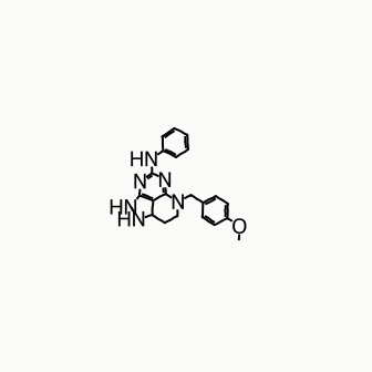 COc1ccc(CN2CCC3NNc4nc(Nc5ccccc5)nc2c43)cc1